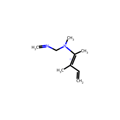 C=C/C(C)=C(\C)N(C)CN=C